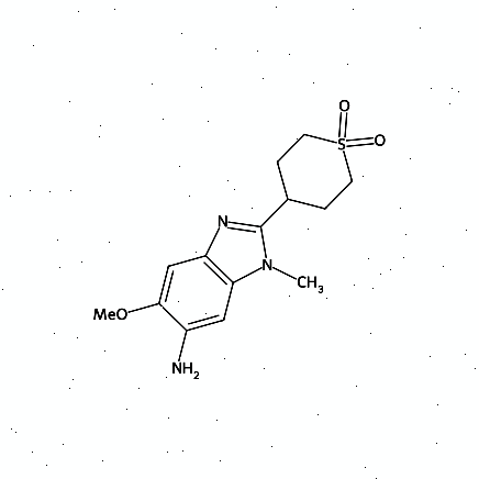 COc1cc2nc(C3CCS(=O)(=O)CC3)n(C)c2cc1N